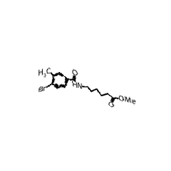 COC(=O)CCCCCNC(=O)c1ccc(Br)c(C)c1